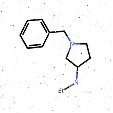 CC[N]C1CCN(Cc2ccccc2)C1